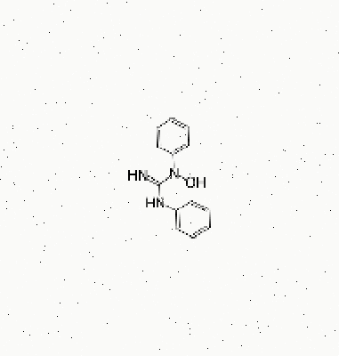 N=C(Nc1ccccc1)N(O)c1ccccc1